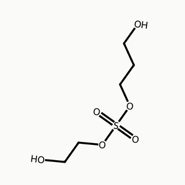 O=S(=O)(OCCO)OCCCO